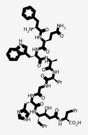 CC(C)C[C@H](NC(=O)C[C@H](O)[C@H](CC(C)C)NC(=O)[C@H](Cc1c[nH]cn1)NC(=O)CNC(=O)[C@@H](NC(=O)[C@H](C)NC(=O)[C@H](Cc1c[nH]c2ccccc12)NC(=O)[C@H](CCC(N)=O)NC(=O)[C@H](N)Cc1ccccc1)C(C)C)C(=O)O